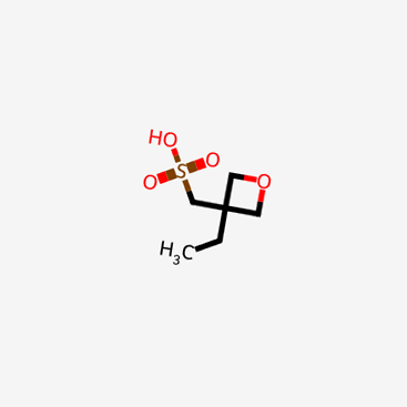 CCC1(CS(=O)(=O)O)COC1